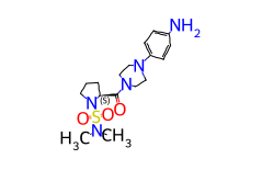 CN(C)S(=O)(=O)N1CCC[C@H]1C(=O)N1CCN(c2ccc(N)cc2)CC1